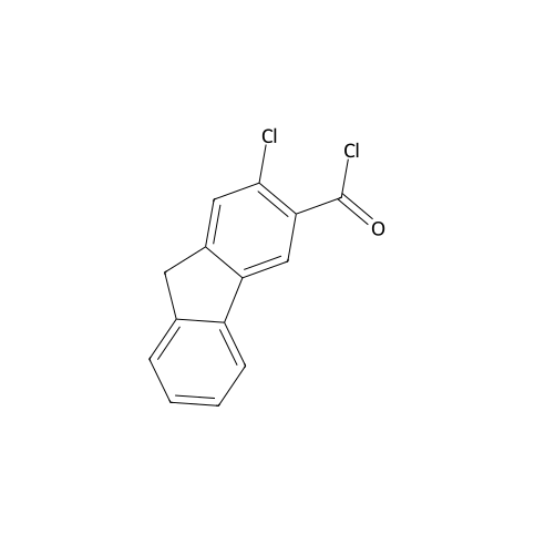 O=C(Cl)c1cc2c(cc1Cl)Cc1ccccc1-2